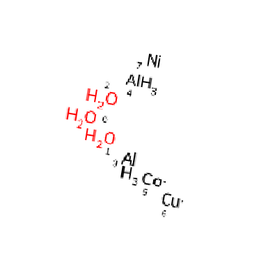 O.O.O.[AlH3].[AlH3].[Co].[Cu].[Ni]